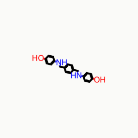 Oc1ccc(NCc2ccc(CNc3ccc(O)cc3)cc2)cc1